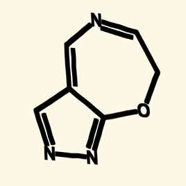 C1=NC=C2C=NN=C2OC1